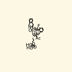 CC(=O)N(NCc1cccc(F)c1F)[C@H](CCCOP(=O)(O)O)COC(=O)Nc1cc2ccccc2cn1